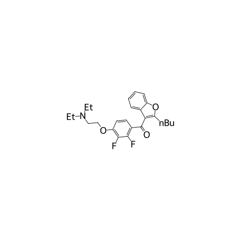 CCCCc1oc2ccccc2c1C(=O)c1ccc(OCCN(CC)CC)c(F)c1F